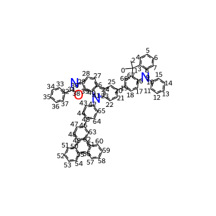 CC1(C)c2ccccc2N(c2ccccc2)c2ccc(-c3ccc4c(c3)c3ccc5nc(-c6ccccc6)oc5c3n4-c3ccc(-c4ccc5c6ccccc6c6ccccc6c5c4)cc3)cc21